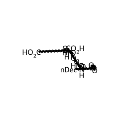 CCCCCCCCCCCCC(NC(=O)CCCCCN1C(=O)C=CC1=O)C(=O)NCCOCCOCCC(=O)NCC(NC(=O)CCCCCCCCCCCCCCCCC(=O)O)C(=O)O